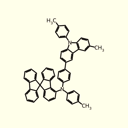 Cc1ccc(N(c2ccc(-c3ccc4c(c3)c3cc(C)ccc3n4-c3ccc(C)cc3)cc2)c2cccc3c2-c2ccccc2C32c3ccccc3-c3ccccc32)cc1